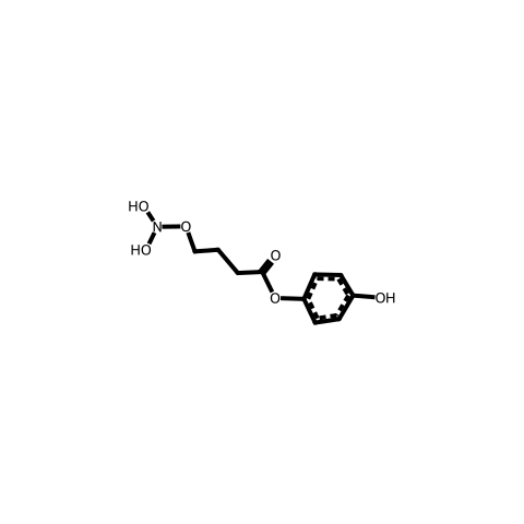 O=C(CCCON(O)O)Oc1ccc(O)cc1